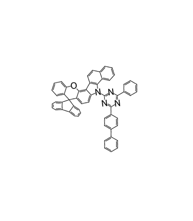 c1ccc(-c2ccc(-c3nc(-c4ccccc4)nc(-n4c5ccc6c(c5c5ccc7ccccc7c54)Oc4ccccc4C64c5ccccc5-c5ccccc54)n3)cc2)cc1